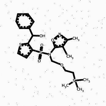 Cc1noc(N(COCC[Si](C)(C)C)S(=O)(=O)c2ccsc2C(O)c2ccccc2)c1C